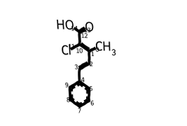 CC(C=Cc1ccccc1)=C(Cl)C(=O)O